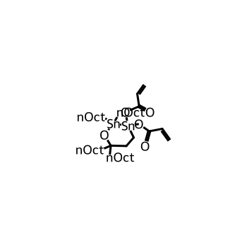 C=CC(=O)[O][Sn]1([O]C(=O)C=C)[CH2]CC(CCCCCCCC)(CCCCCCCC)[O][Sn]1([CH2]CCCCCCC)[CH2]CCCCCCC